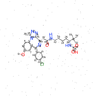 COc1ccc2c(c1)C(c1ccc(Cl)cc1)=N[C@@H](CC(=O)NCCCCC(NC(=O)O)C(C)(C)C)c1nnc(C)n1-2